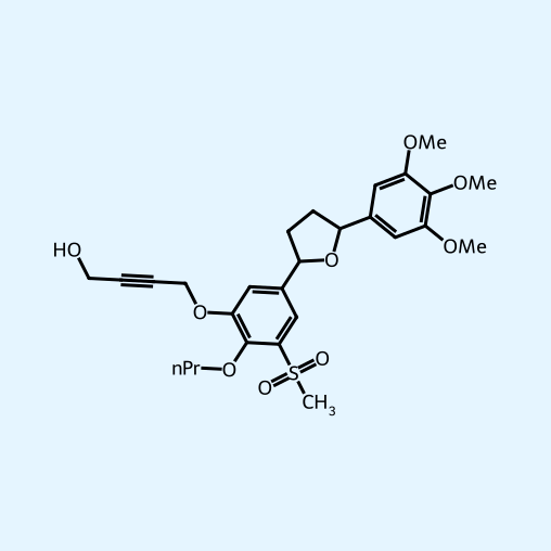 CCCOc1c(OCC#CCO)cc(C2CCC(c3cc(OC)c(OC)c(OC)c3)O2)cc1S(C)(=O)=O